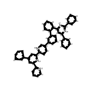 c1ccc(-c2cc(-c3ccccn3)nc(-c3ccc(-c4cccc(-c5ccccc5-c5cc(-c6ccccc6)nc(-c6ccccc6)n5)c4)cn3)c2)cc1